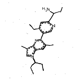 CCc1cc(C(N)CC)ncc1-c1nc2c(C)cn(C(CC)CC)c2cc1C